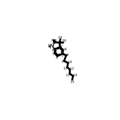 C=C1N(C)c2ccc(CCCCCCCC)cc2C1(C)C